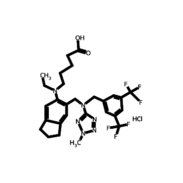 CCN(CCCCC(=O)O)c1cc2c(cc1CN(Cc1cc(C(F)(F)F)cc(C(F)(F)F)c1)c1nnn(C)n1)CCC2.Cl